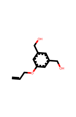 C=CCOc1cc(CO)cc(CO)c1